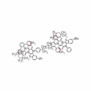 Cc1cc2c3c(c1)N(c1ccccc1)c1c(sc4cc(C(C)(C)C)ccc14)B3c1cc3c(cc1N2c1c(-c2ccccc2)cc(C(C)(C)CCC(C)(C)c2ccc(N4c5cc(C)cc6c5B(c5cc7c(cc5N6c5c(-c6ccccc6)cccc5-c5ccccc5)C(C)(C)CCC7(C)C)c5sc6ccc(C(C)C)cc6c54)cc2)cc1-c1ccccc1)C(C)(C)CCC3(C)C